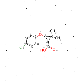 CC1(C)C(Oc2ccc(Cl)cc2)C1C(=O)O